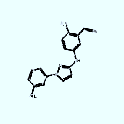 N=Cc1cc(Nc2ccn(-c3cccc(N)c3)n2)ccc1N